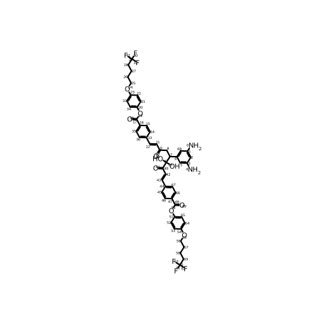 Nc1cc(N)cc(C(CC(=O)C=Cc2ccc(C(=O)Oc3ccc(OCCCCC(F)(F)F)cc3)cc2)C(O)(O)C(=O)C=Cc2ccc(C(=O)Oc3ccc(OCCCCC(F)(F)F)cc3)cc2)c1